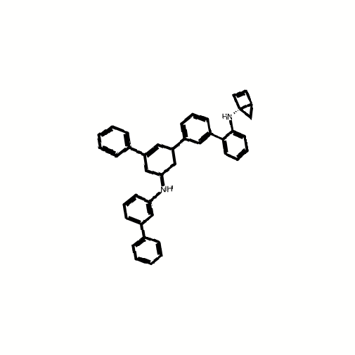 C1=C[C@]2(Nc3ccccc3-c3cccc(C4C=C(c5ccccc5)CC(Nc5cccc(-c6ccccc6)c5)C4)c3)CC12